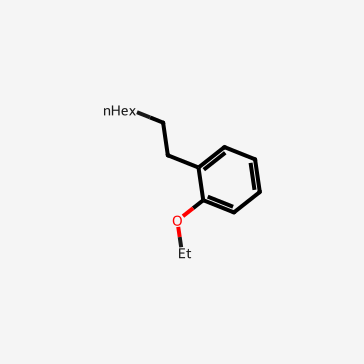 CCCCCCCCc1ccccc1OCC